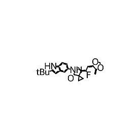 C=C1OCO/C1=C/C(F)=C(\C)C1(C(=O)Nc2ccc3[nH]c(C(C)(C)C)cc3c2)CC1